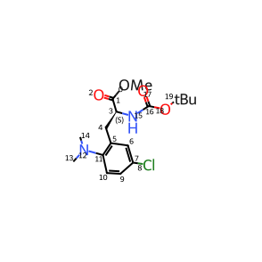 COC(=O)[C@H](Cc1cc(Cl)ccc1N(C)C)NC(=O)OC(C)(C)C